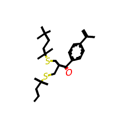 C=C(C)c1ccc(C(=O)C(CSC(C)(C)CCC)CSC(C)(C)CCC(C)(C)C)cc1